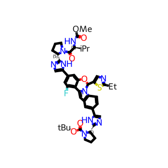 CCc1ncc(C2Oc3cc(-c4cnc([C@@H]5CCCN5C(=O)[C@@H](NC(=O)OC)C(C)C)[nH]4)cc(F)c3-c3cc4cc(-c5cnc([C@@H]6CCCN6C(=O)OC(C)(C)C)[nH]5)ccc4n32)s1